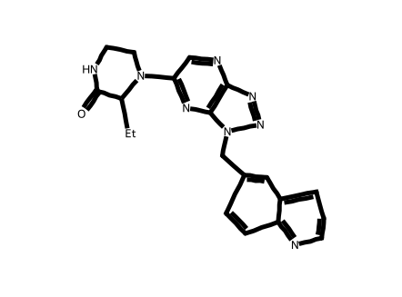 CCC1C(=O)NCCN1c1cnc2nnn(Cc3ccc4ncccc4c3)c2n1